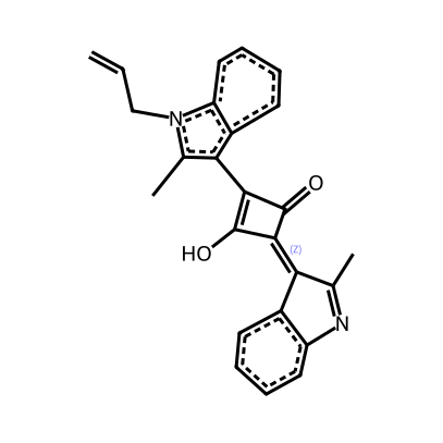 C=CCn1c(C)c(C2=C(O)/C(=C3/C(C)=Nc4ccccc43)C2=O)c2ccccc21